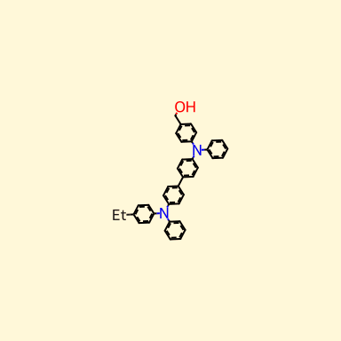 CCc1ccc(N(c2ccccc2)c2ccc(-c3ccc(N(c4ccccc4)c4ccc(CO)cc4)cc3)cc2)cc1